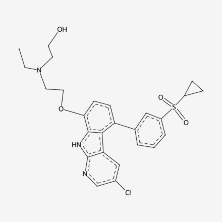 CCN(CCO)CCOc1ccc(-c2cccc(S(=O)(=O)C3CC3)c2)c2c1[nH]c1ncc(Cl)cc12